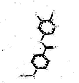 CCCCCCOc1ccc(C(=O)Oc2cnc(F)c(F)c2)cc1